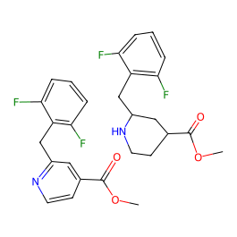 COC(=O)C1CCNC(Cc2c(F)cccc2F)C1.COC(=O)c1ccnc(Cc2c(F)cccc2F)c1